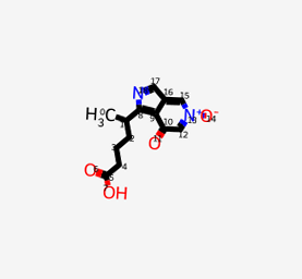 CC(CCCC(=O)O)C1=C2C(=O)C=[N+]([O-])C=C2C=N1